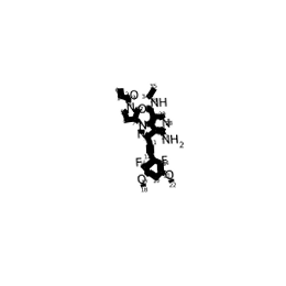 C=CC(=O)N1CCC(n2nc(C#Cc3c(F)c(OC)cc(OC)c3F)c3c(N)ncc(C(=O)NCC)c32)C1